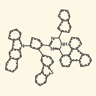 c1ccc2cc(C3N=C(c4ccc(-n5c6ccccc6c6cc7ccccc7cc65)cc4-c4ccc5sc6ccccc6c5c4)N=C(c4cccc5c6ccccc6c6ccccc6c45)N3)ccc2c1